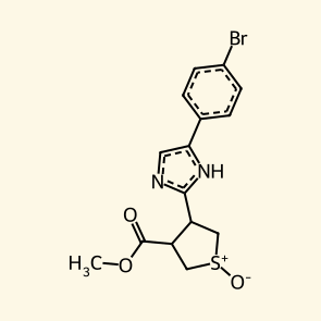 COC(=O)C1C[S+]([O-])CC1c1ncc(-c2ccc(Br)cc2)[nH]1